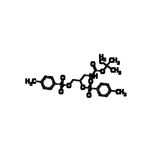 Cc1ccc(S(=O)(=O)OCC(CNC(=O)OC(C)(C)C)OS(=O)(=O)c2ccc(C)cc2)cc1